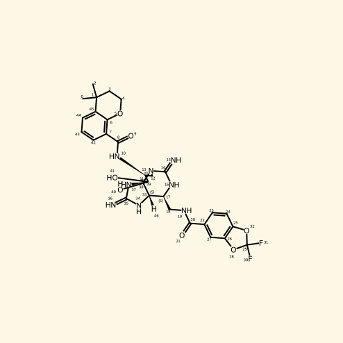 CC1(C)CCOc2c(C(=O)N[C@H]3CN4C(=N)N[C@@H](CNC(=O)c5ccc6c(c5)OC(F)(F)O6)[C@@H]5NC(=N)N[C@@]54C3(O)O)cccc21